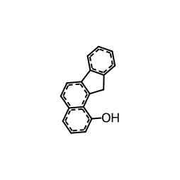 Oc1cccc2ccc3c(c12)Cc1ccccc1-3